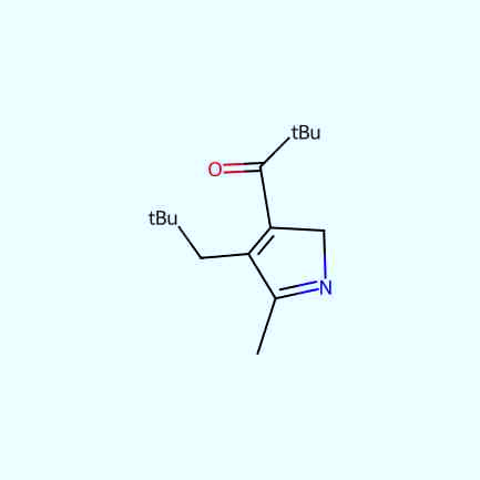 CC1=NCC(C(=O)C(C)(C)C)=C1CC(C)(C)C